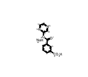 O=C(O)c1cccc(C(=O)Oc2cnccn2)c1.[NaH]